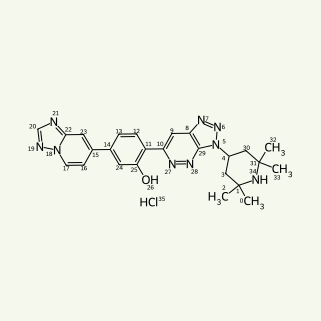 CC1(C)CC(n2nnc3cc(-c4ccc(-c5ccn6ncnc6c5)cc4O)nnc32)CC(C)(C)N1.Cl